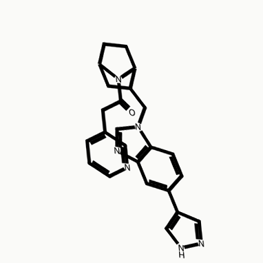 O=C(Cc1cccnc1)N1C2CCC1C(Cn1cnc3cc(-c4cn[nH]c4)ccc31)C2